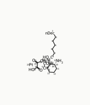 CC(=O)O.CCCCCCCCCCCCCCCC(=O)O.N[C@@H]1CCCC[C@H]1N.O=C(O)C(=O)O.[Pt]